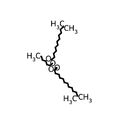 CCCCCC(OC(=O)CCCCCCCCCCC(C)C)OC(=O)CCCCCCCCCCC(C)C